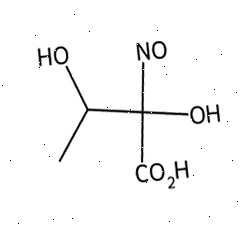 CC(O)C(O)(N=O)C(=O)O